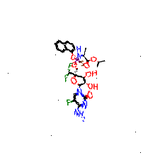 CC(C)OC(=O)[C@H](C)NP(=S)(OC[C@@]1(C(F)F)O[C@@H](n2cc(F)c(N)nc2=O)[C@@H](O)[C@@H]1O)Oc1cccc2ccccc12